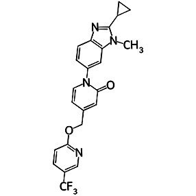 Cn1c(C2CC2)nc2ccc(-n3ccc(COc4ccc(C(F)(F)F)cn4)cc3=O)cc21